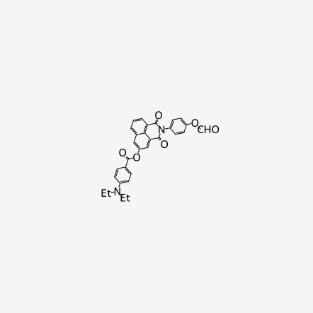 CCN(CC)c1ccc(C(=O)Oc2cc3c4c(cccc4c2)C(=O)N(c2ccc(OC=O)cc2)C3=O)cc1